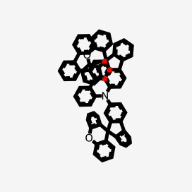 c1ccc(-c2ccccc2-c2ccccc2-c2ccccc2N(c2ccc3c(c2)C2(c4ccccc4Oc4ccccc42)c2ccccc2-3)c2ccc3c(c2)C2(c4ccccc4Oc4ccccc42)c2ccccc2-3)cc1